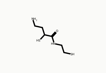 NCCC(S)C(=O)NCCS